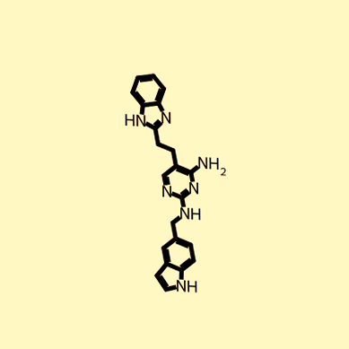 Nc1nc(NCc2ccc3[nH]ccc3c2)ncc1CCc1nc2ccccc2[nH]1